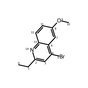 CCc1cc(Br)c2cc(OC)ccc2n1